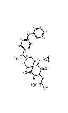 CC(C)CC1NC(=O)C2(CCN(Cc3ccc(Oc4ccccc4)cc3)CC2)N(CC2CC2)C1=O.Cl